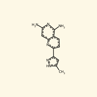 Cc1cc(-c2ccc3c(N)nc(N)cc3n2)n[nH]1